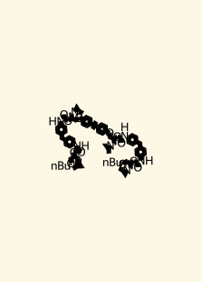 CCCCOCC(CN1CC1C)OC(=O)NC1CCC(CC2CCC(NC(=O)OC(COc3ccc(C(C)(C)c4ccc(OCC(CN5CC5C)OC(=O)NC5CCC(CC6CCC(NC(=O)OC(COCCCC)CN7CC7C)CC6)CC5)cc4)cc3)CN3CC3C)CC2)CC1